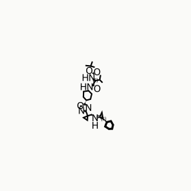 CC(C)[C@H](NC(=O)OC(C)(C)C)C(=O)N[C@H]1CC[C@H](c2nc(C3(CN[C@@H]4C[C@H]4c4ccccc4)CC3)no2)CC1